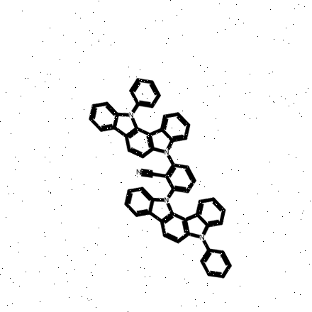 N#Cc1c(-n2c3ccccc3c3c2ccc2c4ccccc4n(-c4ccccc4)c23)cccc1-n1c2ccccc2c2ccc3c(c4ccccc4n3-c3ccccc3)c21